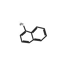 C[C](C)c1cccc2ccccc12